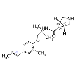 C/N=C/c1ccc(OCC(C)(C)NC(=O)[C@H]2[C@@H]3CNC[C@@H]32)c(C)c1